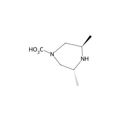 C[C@@H]1CN(C(=O)O)C[C@@H](C)N1